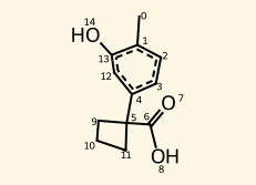 Cc1ccc(C2(C(=O)O)CCC2)cc1O